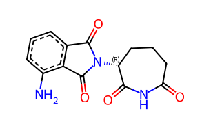 Nc1cccc2c1C(=O)N([C@@H]1CCCC(=O)NC1=O)C2=O